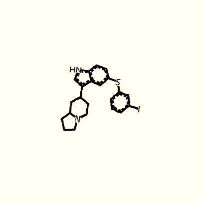 Ic1cccc(Sc2ccc3[nH]cc(C4CCN5CCCC5C4)c3c2)c1